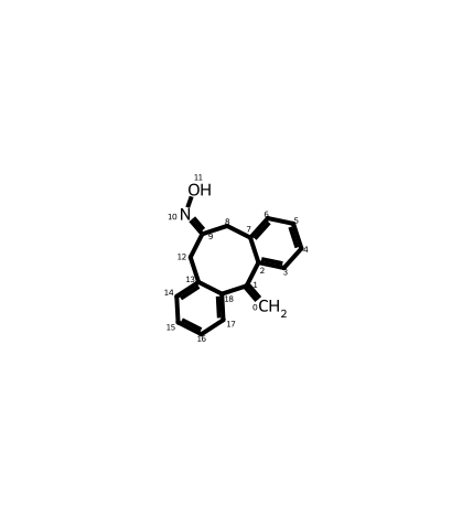 C=C1c2ccccc2CC(=NO)Cc2ccccc21